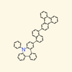 c1ccc(N2c3ccccc3-c3ccccc3-c3cc(-c4cccc5c(-c6ccc7c8ccccc8c8ccccc8c7c6)cccc45)ccc32)cc1